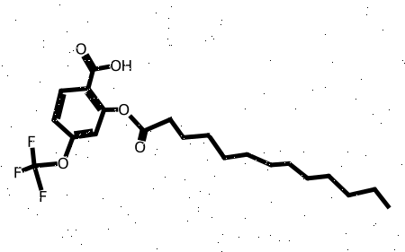 CCCCCCCCCCCCC(=O)Oc1cc(OC(F)(F)F)ccc1C(=O)O